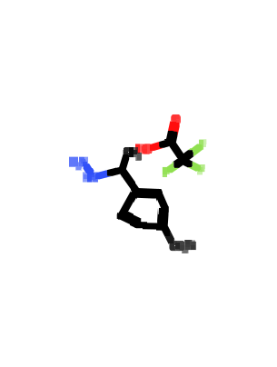 CCOC(=O)c1ccc(C(C)NN)cc1.O=C(O)C(F)(F)F